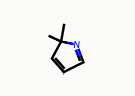 CC1(C)C=[C]C=N1